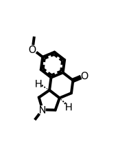 COc1ccc2c(c1)[C@@H]1CN(C)C[C@@H]1CC2=O